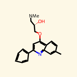 CNC[C@H](O)COc1cc(-c2ccccc2)nc2cc(C)ccc12